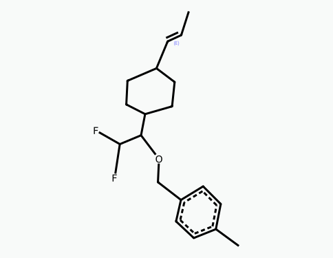 C/C=C/C1CCC(C(OCc2ccc(C)cc2)C(F)F)CC1